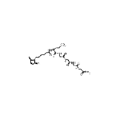 C=C1C=CC(=O)N1CCCCCC(=O)N[C@@H](CCC(=O)O)C(=O)NCC(=O)NCC(=O)NCC(=O)NCC(N)=O